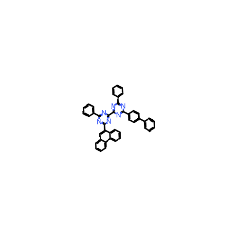 c1ccc(-c2ccc(-c3nc(-c4ccccc4)nc(-c4nc(-c5ccccc5)nc(-c5cc6ccccc6c6ccccc56)n4)n3)cc2)cc1